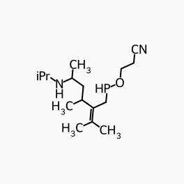 CC(C)=C(CPOCCC#N)C(C)CC(C)NC(C)C